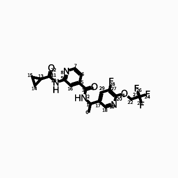 CC(NC(=O)c1ccnc(NC(=O)C2CC2)c1)c1cnc(OCC(F)(F)F)c(F)c1